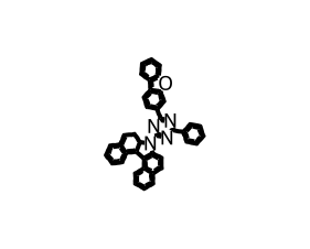 C1=c2ccccc2=C2c3c(ccc4ccccc34)N(c3nc(-c4ccccc4)nc(-c4ccc5c(c4)oc4ccccc45)n3)C2C1